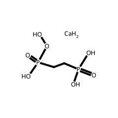 O=P(O)(O)CCP(=O)(O)OO.[CaH2]